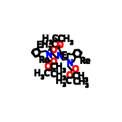 CC(C)(C)OC(=O)CN(CCN(CC(=O)OC(C)(C)C)Cc1[c]([Er])ccc[c]1[Re])CCN(CC(=O)OC(C)(C)C)Cc1[c]([Er])ccc[c]1[Re]